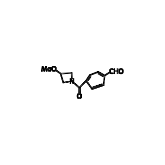 COC1CN(C(=O)c2ccc(C=O)cc2)C1